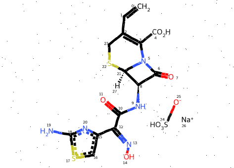 C=CC1=C(C(=O)O)N2C(=O)[C@@H](NC(=O)C(=NO)c3csc(N)n3)[C@H]2SC1.O=S(=O)([O-])O.[Na+]